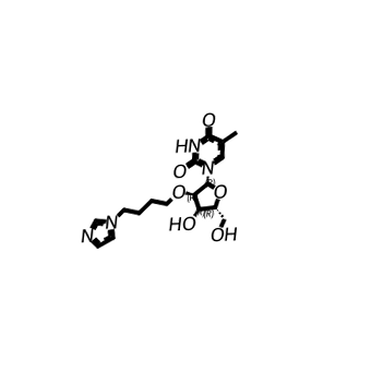 Cc1cn([C@@H]2O[C@H](CO)[C@@H](O)[C@H]2OCCCCn2ccnc2)c(=O)[nH]c1=O